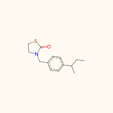 CCC(C)c1ccc(CN2CCSC2=O)cc1